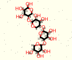 OC1OC[C@@H](O[C@@H]2OC[C@@H](O[C@@H]3OC[C@@H](O[C@@H]4OC[C@@H](O)[C@H](O)[C@H]4O)[C@H](O)[C@H]3O)[C@H](O)[C@H]2O)[C@H](O)[C@H]1O